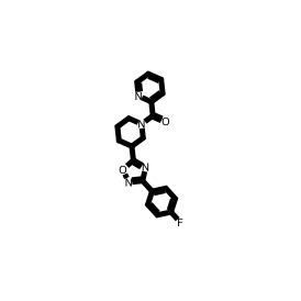 O=C(c1ccccn1)N1CCCC(c2nc(-c3ccc(F)cc3)no2)C1